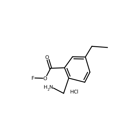 CCc1ccc(CN)c(C(=O)OF)c1.Cl